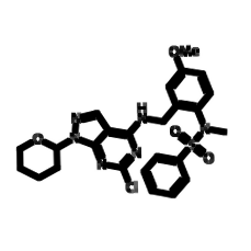 COc1ccc(N(C)S(=O)(=O)c2ccccc2)c(CNc2nc(Cl)nc3c2cnn3C2CCCCO2)c1